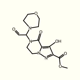 COC(=O)c1nn2c(c1O)C(=O)N(C(C=O)N1CCOCC1)CC2